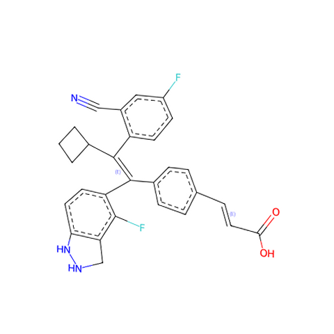 N#Cc1cc(F)ccc1/C(=C(\c1ccc(/C=C/C(=O)O)cc1)c1ccc2c(c1F)CNN2)C1CCC1